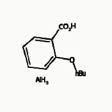 CCCCOc1ccccc1C(=O)O.[AlH3]